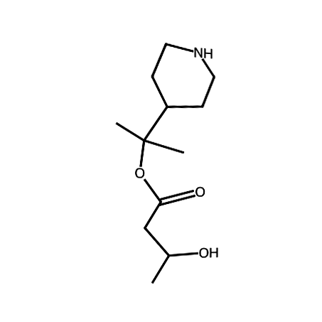 CC(O)CC(=O)OC(C)(C)C1CCNCC1